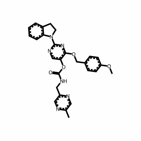 COc1ccc(COc2nc(N3CCc4ccccc43)ncc2OC(=O)NCc2cnc(C)cn2)cc1